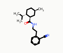 CC(C)[C@@H]1CC[C@@H](C)C[C@H]1C(=O)NCCc1ccccc1C#N